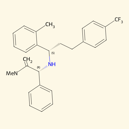 C=C(NC)[C@H](N[C@@H](CCc1ccc(C(F)(F)F)cc1)c1ccccc1C)c1ccccc1